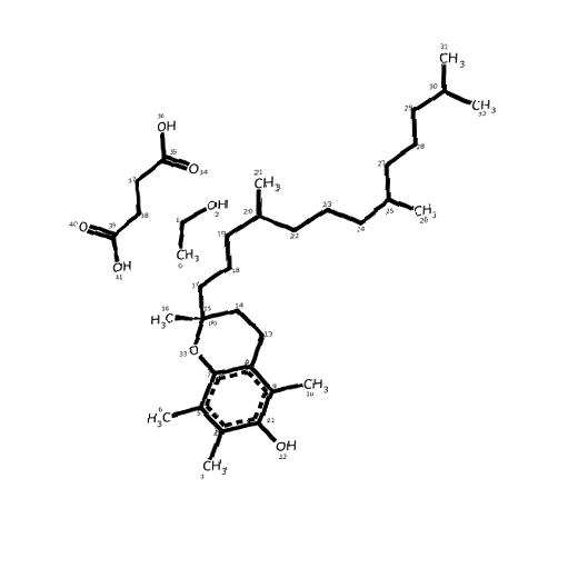 CCO.Cc1c(C)c2c(c(C)c1O)CC[C@@](C)(CCCC(C)CCCC(C)CCCC(C)C)O2.O=C(O)CCC(=O)O